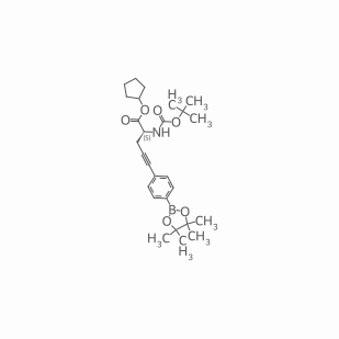 CC(C)(C)OC(=O)N[C@@H](CC#Cc1ccc(B2OC(C)(C)C(C)(C)O2)cc1)C(=O)OC1CCCC1